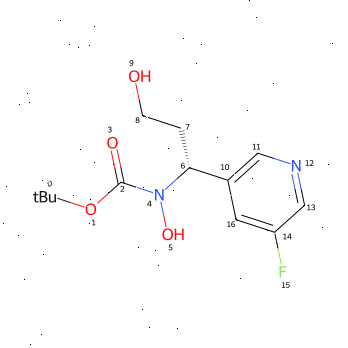 CC(C)(C)OC(=O)N(O)[C@H](CCO)c1cncc(F)c1